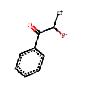 CCC(Br)C(=O)c1ccccc1